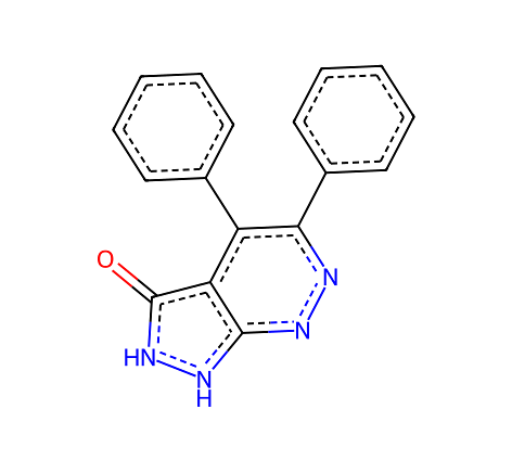 O=c1[nH][nH]c2nnc(-c3ccccc3)c(-c3ccccc3)c12